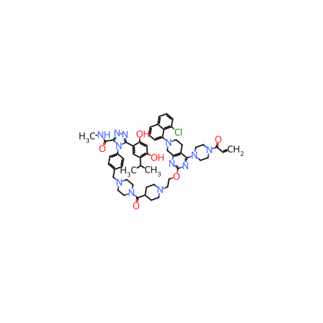 C=CC(=O)N1CCN(c2nc(OCCN3CCC(C(=O)N4CCN(Cc5ccc(-n6c(C(=O)NC)nnc6-c6cc(C(C)C)c(O)cc6O)cc5)CC4)CC3)nc3c2CCN(c2cccc4cccc(Cl)c24)C3)CC1